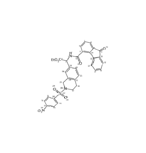 CCOC(=O)C(NC(=O)c1cccc2c1-c1ccccc1C2=O)c1ccc2c(c1)CN(S(=O)(=O)c1ccc([N+](=O)[O-])cc1)CC2